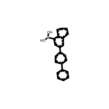 OB(O)c1cc(-c2ccc(-c3ccccc3)cc2)cc2ccccc12